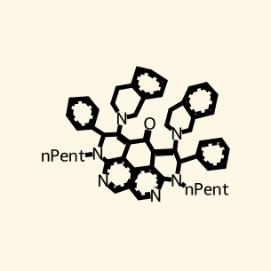 CCCCCN1c2ncccc2C(C(=O)C2=C(N3CCc4ccccc4C3)C(c3ccccc3)N(CCCCC)c3ncccc32)=C(N2CCc3ccccc3C2)C1c1ccccc1